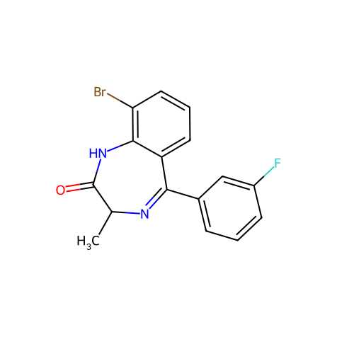 CC1N=C(c2cccc(F)c2)c2cccc(Br)c2NC1=O